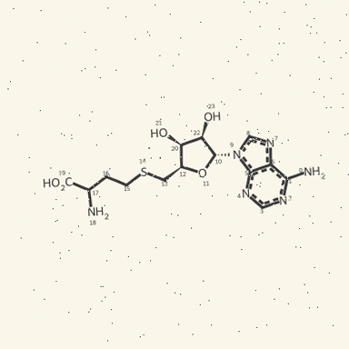 Nc1ncnc2c1ncn2[C@@H]1O[C@@H](CSCCC(N)C(=O)O)[C@@H](O)[C@H]1O